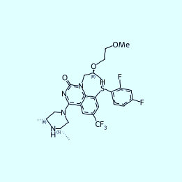 COCCO[C@@H]1Cn2c(=O)nc(N3C[C@@H](C)N[C@@H](C)C3)c3cc(C(F)(F)F)cc(c32)[SH](c2ccc(F)cc2F)C1